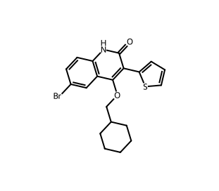 O=c1[nH]c2ccc(Br)cc2c(OCC2CCCCC2)c1-c1cccs1